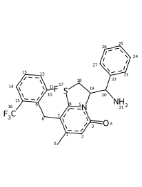 Cc1cc(=O)n2c(c1Cc1c(F)cccc1C(F)(F)F)SCC2C(N)c1ccccc1